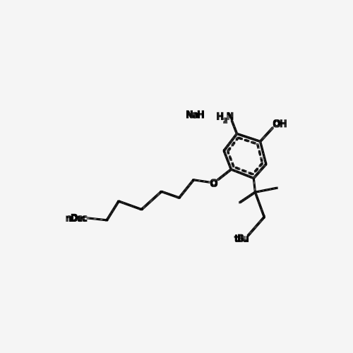 CCCCCCCCCCCCCCCCOc1cc(N)c(O)cc1C(C)(C)CC(C)(C)C.[NaH]